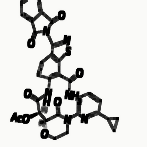 CC(=O)O[C@@H](C(=O)Nc1ccc2c(N3C(=O)c4ccccc4C3=O)nsc2c1C(N)=O)[C@H]1OCCN(c2cccc(C3CC3)n2)C1=O